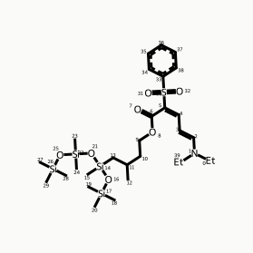 CCN(/C=C/C=C(\C(=O)OCCC(C)C[Si](C)(O[Si](C)(C)C)O[Si](C)(C)O[Si](C)(C)C)S(=O)(=O)c1ccccc1)CC